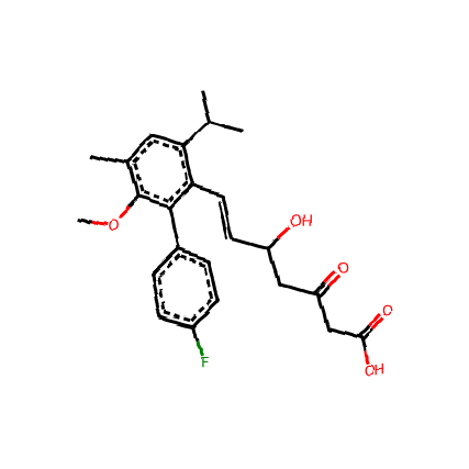 COc1c(C)cc(C(C)C)c(C=CC(O)CC(=O)CC(=O)O)c1-c1ccc(F)cc1